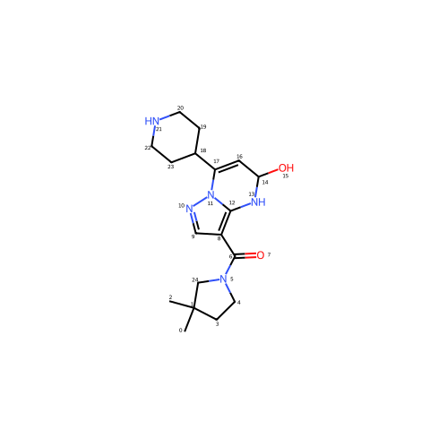 CC1(C)CCN(C(=O)c2cnn3c2NC(O)C=C3C2CCNCC2)C1